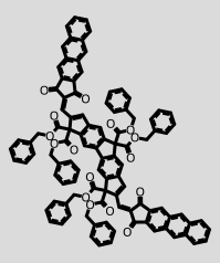 O=C1C(=CC2=Cc3cc4c(cc3C2(C(=O)OCc2ccccc2)C(=O)OCc2ccccc2)-c2cc3c(cc2C4(C(=O)OCc2ccccc2)C(=O)OCc2ccccc2)C=C(C=C2C(=O)c4cc5cc6ccccc6cc5cc4C2=O)C3(C(=O)OCc2ccccc2)C(=O)OCc2ccccc2)C(=O)c2cc3cc4ccccc4cc3cc21